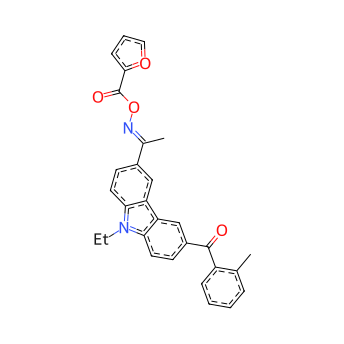 CCn1c2ccc(C(=O)c3ccccc3C)cc2c2cc(/C(C)=N/OC(=O)c3ccco3)ccc21